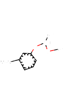 CCC[SiH](Oc1cccc(NC)c1)OC(C)C